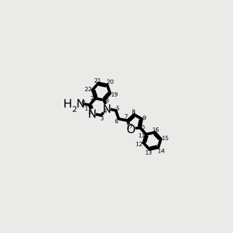 NC1=NCN(CCc2ccc(-c3ccccc3)o2)c2ccccc21